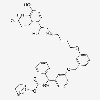 O=C(NC(c1ccccc1)c1cccc(OCc2cccc(OCCCCNCC(O)c3ccc(O)c4[nH]c(=O)ccc34)c2)c1)OC1CN2CCC1CC2